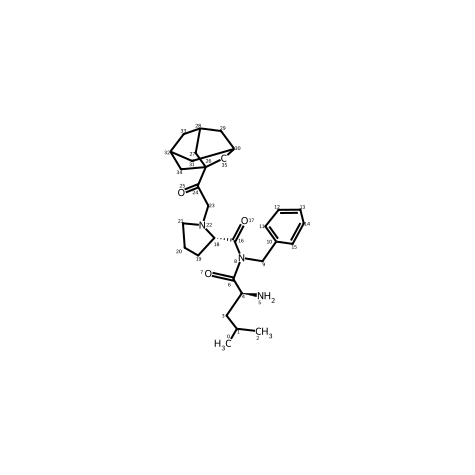 CC(C)C[C@H](N)C(=O)N(Cc1ccccc1)C(=O)[C@@H]1CCCN1CC(=O)C12CC3CC(CC(C3)C1)C2